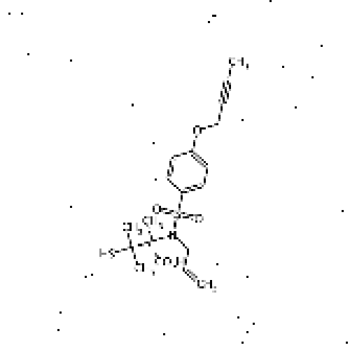 C=CCN([C@@](C)(C(=O)O)C(C)(C)S)S(=O)(=O)c1ccc(OCC#CC)cc1